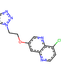 Clc1ccnc2cc(OCCn3ccnn3)cnc12